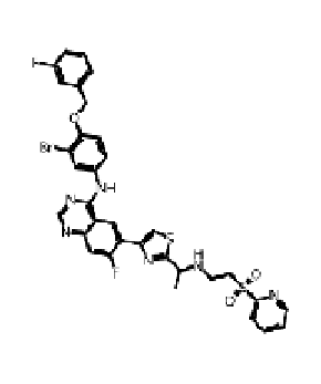 CC(NCCS(=O)(=O)c1ccccn1)c1nc(-c2cc3c(Nc4ccc(OCc5cccc(F)c5)c(Br)c4)ncnc3cc2F)cs1